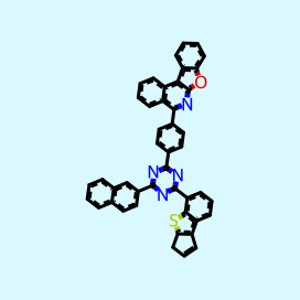 C1=Cc2c(sc3c(-c4nc(-c5ccc(-c6nc7oc8ccccc8c7c7ccccc67)cc5)nc(-c5ccc6ccccc6c5)n4)cccc23)C1